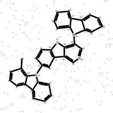 Cc1cccc2c3ccccc3n(-c3ccc4sc5c(-n6c7ccccc7c7ccccc76)cncc5c4c3)c12